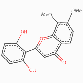 COc1ccc2c(=O)cc(-c3c(O)cccc3O)oc2c1OC